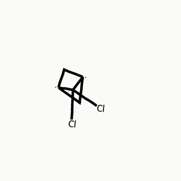 ClC1(Cl)[C]2C[C]1C2